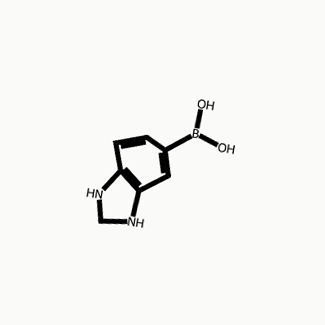 OB(O)c1ccc2c(c1)NCN2